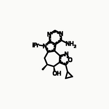 CC(C)n1c2c(c3c(N)ncnc31)-c1noc(C3CC3)c1[C@@H](O)[C@@H](C)C2